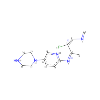 C=N/C=C(F)\C(C)=N/c1ccc(N2CCNCC2)cn1